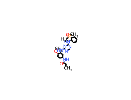 C=CC(=O)Nc1ccc(OC(F)(F)F)c(Nc2ncnc(Nc3ccccc3P(C)(C)=O)n2)c1